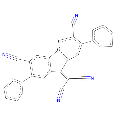 N#CC(C#N)=C1c2cc(-c3ccccc3)c(C#N)cc2-c2cc(C#N)c(-c3ccccc3)cc21